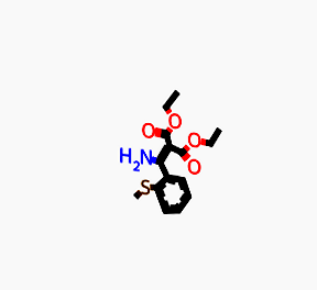 CCOC(=O)C(C(=O)OCC)=C(N)c1ccccc1SC